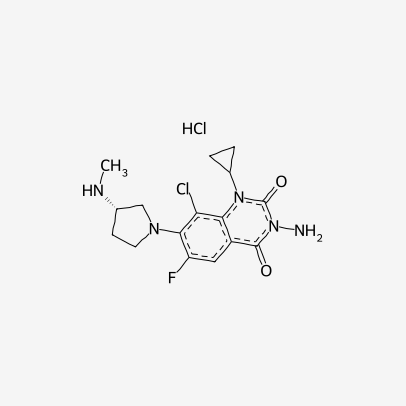 CN[C@H]1CCN(c2c(F)cc3c(=O)n(N)c(=O)n(C4CC4)c3c2Cl)C1.Cl